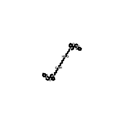 O=C(CCCCCN1C=CC2=C3c4sc5ccccc5[n+]4CCC3Oc3cccc1c32)NCCCCCCCCNC(=O)CCCCCN1C=CC2=C3c4sc5ccccc5[n+]4CCC3Oc3cccc1c32